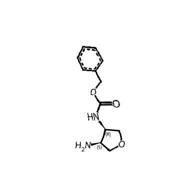 N[C@@H]1COC[C@@H]1NC(=O)OCc1ccccc1